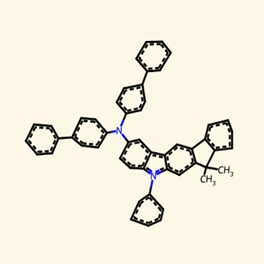 CC1(C)c2ccccc2-c2cc3c4cc(N(c5ccc(-c6ccccc6)cc5)c5ccc(-c6ccccc6)cc5)ccc4n(-c4ccccc4)c3cc21